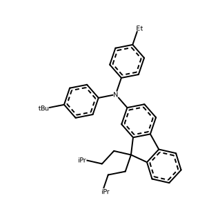 CCc1ccc(N(c2ccc(C(C)(C)C)cc2)c2ccc3c(c2)C(CCC(C)C)(CCC(C)C)c2ccccc2-3)cc1